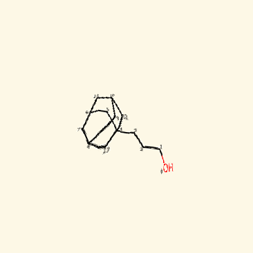 OCCCC12CC3CC(CC(C3)C1)C2